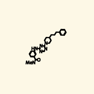 CNC(=O)c1cccc(Nc2ncnc(N3CCC(CCCc4ccccc4)CC3)n2)c1